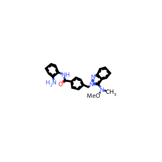 CON(C)c1c2ccccc2nn1Cc1ccc(C(=O)Nc2ccccc2N)cc1